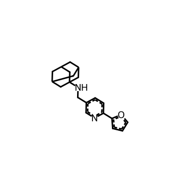 c1coc(-c2ccc(CNC34CC5CC(CC(C5)C3)C4)cn2)c1